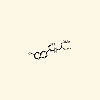 COCC(CN/C=C(\C=N)c1ccc2cnc(Cl)cc2c1)OC